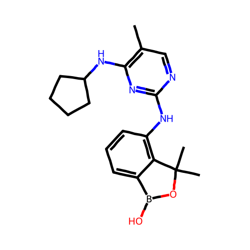 Cc1cnc(Nc2cccc3c2C(C)(C)OB3O)nc1NC1CCCC1